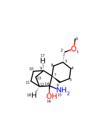 COC[C@@H]1CCC[C@]2(C1)[C@@H]1CC[C@@H](C1)C2(N)O